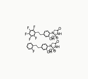 O=C1CN(c2ccc(CCc3c(F)c(F)c(F)c(F)c3F)cc2O)S(=O)(=O)N1.O=C1CN(c2ccc(CCc3ccccc3F)cc2O)S(=O)(=O)N1